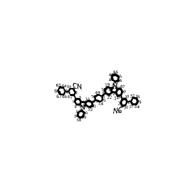 N#CC1=CC(c2ccc3c(c2)c2cc(C4=CCC(c5ccc6c(c5)c5cc(-c7cc(C#N)cc(-c8ccccc8)c7)ccc5n6-c5ccccc5)C=C4)ccc2n3-c2ccccc2)=CC(C2C=CC=CC2)C1